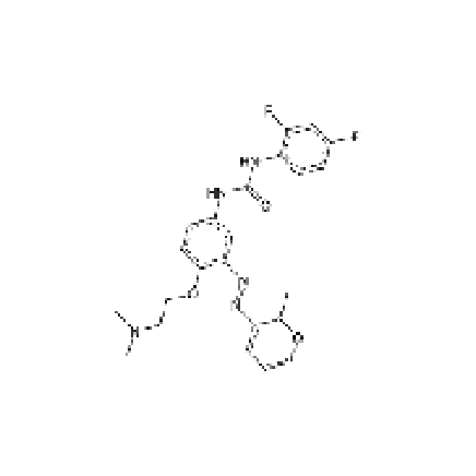 CC1OC=CC=C1N=Nc1cc(NC(=O)Nc2ccc(F)cc2F)ccc1OCCN(C)C